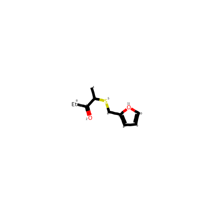 CCC(=O)C(C)SCc1ccco1